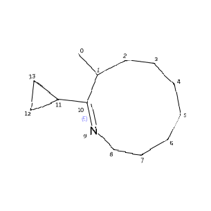 CC1CCCCCCC/N=C\1C1CC1